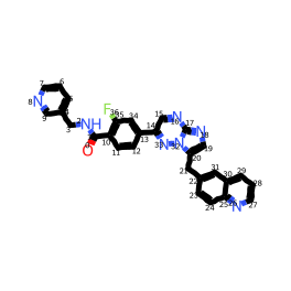 O=C(NCc1cccnc1)c1ccc(-c2cnc3ncc(Cc4ccc5ncccc5c4)n3n2)cc1F